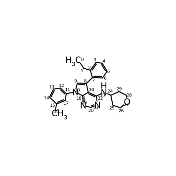 CCc1ccccc1-c1cn(-c2cccc(C)c2)c2ncnc(NC3CCOCC3)c12